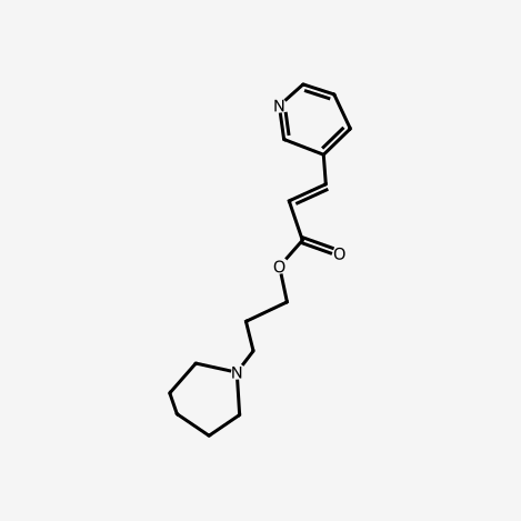 O=C(C=Cc1cccnc1)OCCCN1CCCCC1